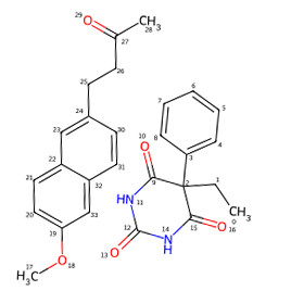 CCC1(c2ccccc2)C(=O)NC(=O)NC1=O.COc1ccc2cc(CCC(C)=O)ccc2c1